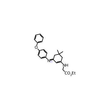 CCOC(=O)CNC1=C/C(=N/c2ccc(Oc3ccccc3)cc2)CC(C)(C)C1